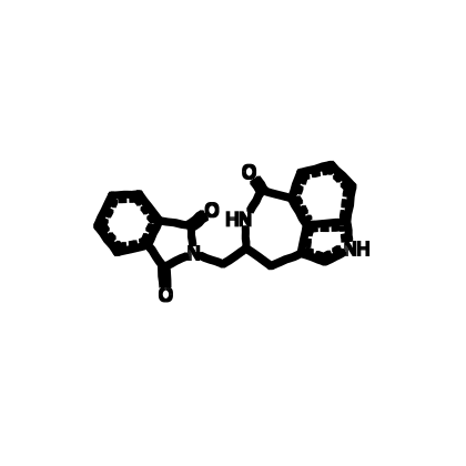 O=C1NC(CN2C(=O)c3ccccc3C2=O)Cc2c[nH]c3cccc1c23